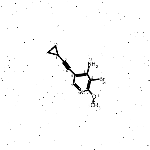 COc1ncc(C#CC2CC2)c(N)c1Br